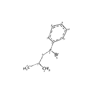 CC(C)CP(Br)c1ccccc1